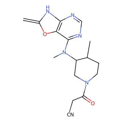 C=C1Nc2ncnc(N(C)C3CN(C(=O)CC#N)CCC3C)c2O1